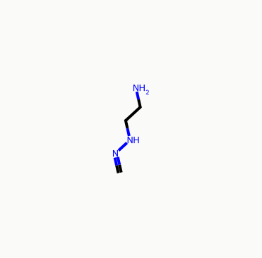 C=NNCCN